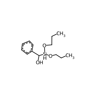 CCCO[SiH](OCCC)C(O)c1ccccc1